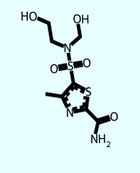 Cc1nc(C(N)=O)sc1S(=O)(=O)N(CO)CCO